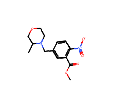 COC(=O)c1cc(CN2CCOCC2C)ccc1[N+](=O)[O-]